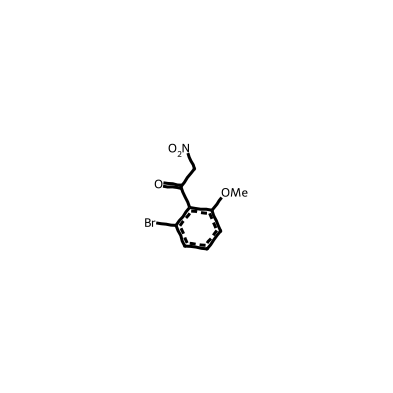 COc1cccc(Br)c1C(=O)C[N+](=O)[O-]